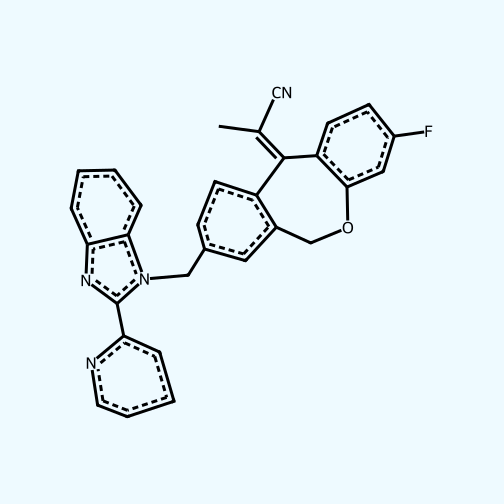 CC(C#N)=C1c2ccc(Cn3c(-c4ccccn4)nc4ccccc43)cc2COc2cc(F)ccc21